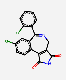 O=C1NC(=O)C2=C1CN=C(c1ccccc1Cl)c1cc(Cl)ccc12